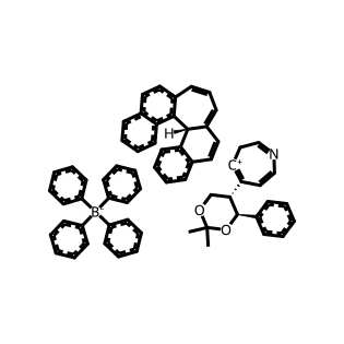 C1=Cc2ccc3ccccc3c2[C@@H]2C(=C1)C=Cc1ccccc12.CC1(C)OC[C@H](C2=[C+]CC=NC=C2)[C@@H](c2ccccc2)O1.c1ccc([B-](c2ccccc2)(c2ccccc2)c2ccccc2)cc1